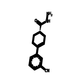 N#Cc1cccc(C2=CC[C@@H](C(=O)NN)CC2)c1